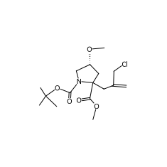 C=C(CCl)CC1(C(=O)OC)C[C@@H](OC)CN1C(=O)OC(C)(C)C